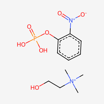 C[N+](C)(C)CCO.O=[N+]([O-])c1ccccc1OP(=O)(O)O